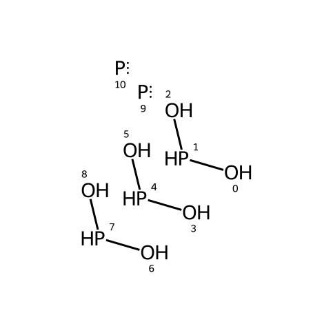 OPO.OPO.OPO.[P].[P]